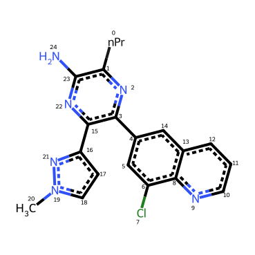 CCCc1nc(-c2cc(Cl)c3ncccc3c2)c(-c2ccn(C)n2)nc1N